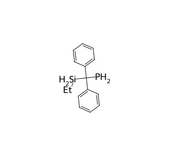 CC[SiH2]C(P)(c1ccccc1)c1ccccc1